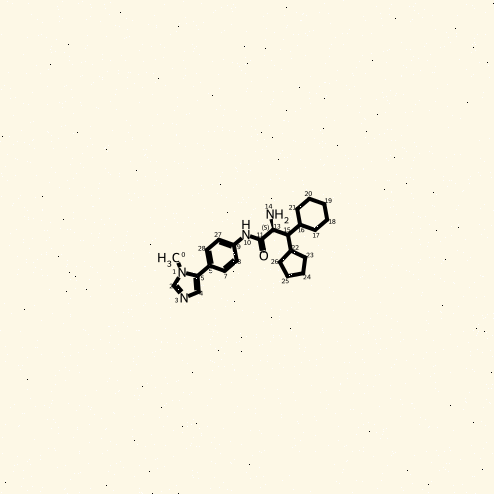 Cn1cncc1-c1ccc(NC(=O)[C@@H](N)C(C2CCCCC2)C2CCCC2)cc1